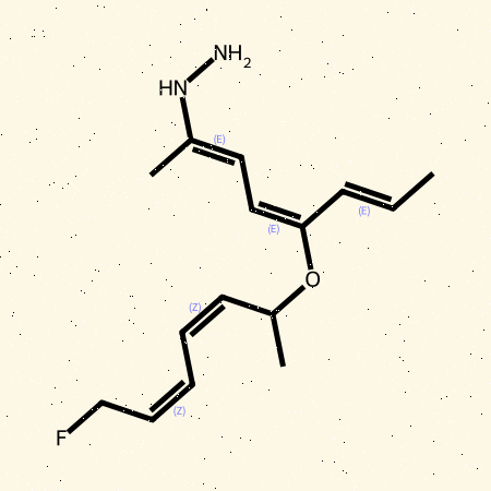 C/C=C/C(=C\C=C(/C)NN)OC(C)/C=C\C=C/CF